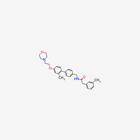 Cc1cccc(CC(=O)NCc2ccc(-c3ccc(OCCN4CCOCC4)cc3C)cc2)c1